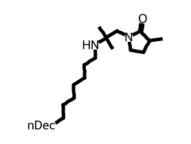 CCCCCCCCCCCCCCCCCNC(C)(C)CN1CCC(C)C1=O